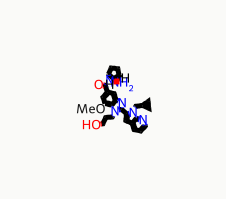 COc1cc(C(=O)N2C[C@H]3CCC2[C@@H]3N)cc2nc(-c3cc4cccnc4n3CC3CC3)n(CCCO)c12